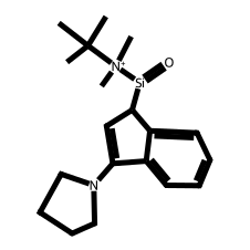 CC(C)(C)[N+](C)(C)[Si](=O)C1C=C(N2CCCC2)c2ccccc21